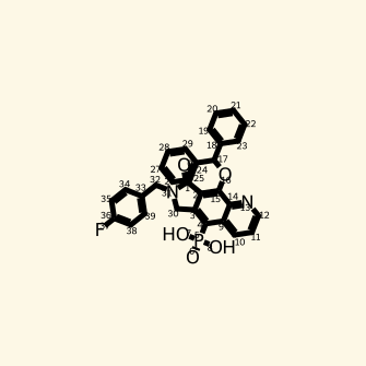 O=C1c2c(c(P(=O)(O)O)c3cccnc3c2OC(c2ccccc2)c2ccccc2)CN1Cc1ccc(F)cc1